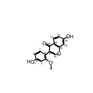 COc1cc(O)ccc1-c1coc2cc(O)ccc2c1=O